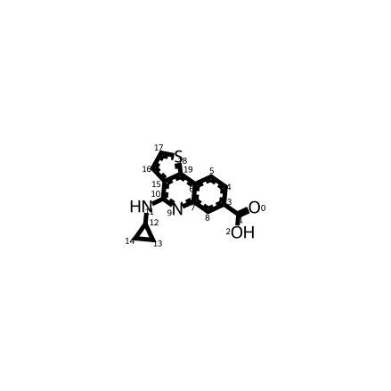 O=C(O)c1ccc2c(c1)nc(NC1CC1)c1ccsc12